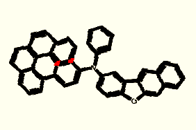 c1ccc(N(c2ccc(-c3cccc4ccc5ccc6ccccc6c5c34)cc2)c2ccc3oc4cc5ccccc5cc4c3c2)cc1